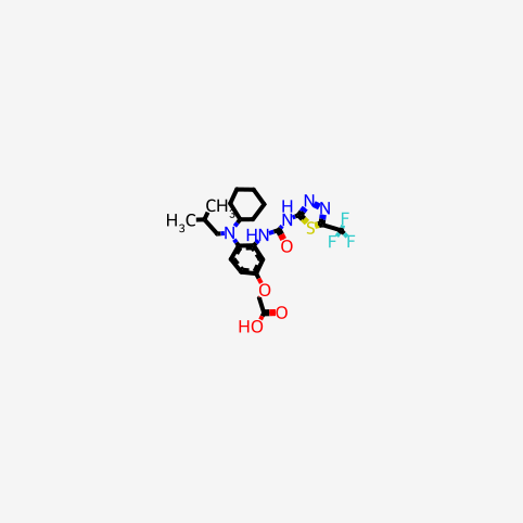 CC(C)CN(c1ccc(OCC(=O)O)cc1NC(=O)Nc1nnc(C(F)(F)F)s1)C1CCCCC1